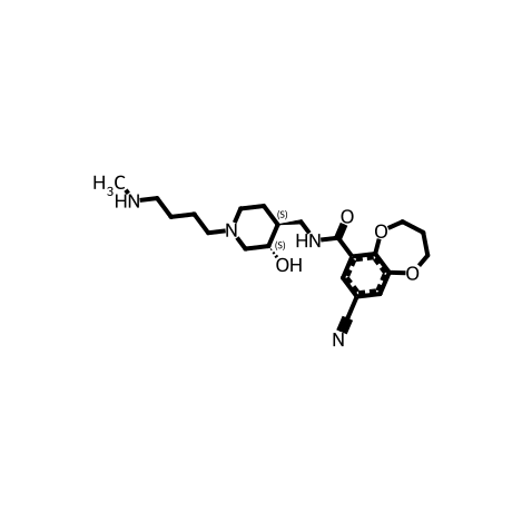 CNCCCCN1CC[C@@H](CNC(=O)c2cc(C#N)cc3c2OCCCO3)[C@H](O)C1